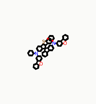 c1ccc(N(c2ccc3c(c2)C2(c4ccccc4-3)c3cc(N(c4ccccc4)c4ccc5oc6ccccc6c5c4)ccc3-c3sc4ccccc4c32)c2ccc3oc4ccccc4c3c2)cc1